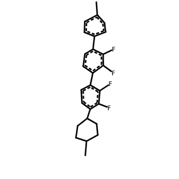 Cc1ccc(-c2ccc(-c3ccc(C4CCC(C)CC4)c(F)c3F)c(F)c2F)cc1